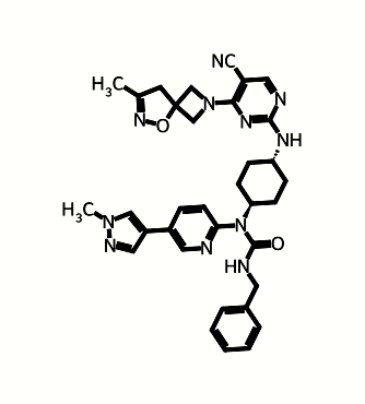 CC1=NOC2(C1)CN(c1nc(N[C@H]3CC[C@H](N(C(=O)NCc4ccccc4)c4ccc(-c5cnn(C)c5)cn4)CC3)ncc1C#N)C2